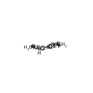 Cn1cc(CC(=O)N[C@H]2CC[C@H](CCN3CCc4nc(OCC(C)(F)F)sc4CC3)CC2)cn1